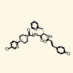 O=C(/C=C/c1ccc(Cl)cc1)N[C@@H](Cc1ccccn1)C(=O)NCC(=O)N1CCN(c2ccc(Cl)cn2)CC1